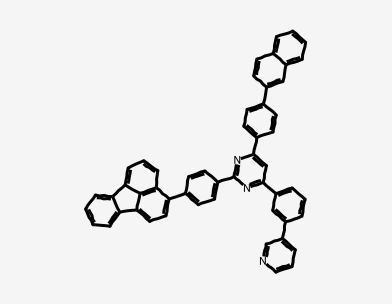 c1cncc(-c2cccc(-c3cc(-c4ccc(-c5ccc6ccccc6c5)cc4)nc(-c4ccc(-c5ccc6c7c(cccc57)-c5ccccc5-6)cc4)n3)c2)c1